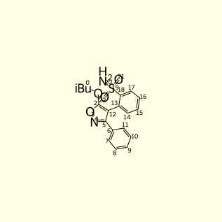 CCC(C)Oc1onc(-c2ccccc2)c1-c1ccccc1S(N)(=O)=O